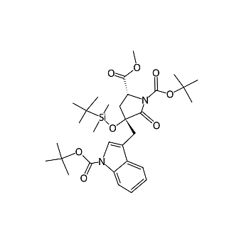 COC(=O)[C@H]1C[C@@](Cc2cn(C(=O)OC(C)(C)C)c3ccccc23)(O[Si](C)(C)C(C)(C)C)C(=O)N1C(=O)OC(C)(C)C